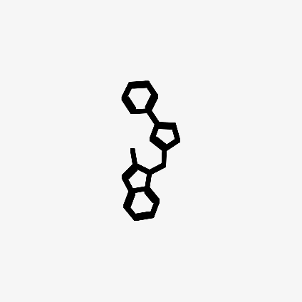 CC1=Cc2ccccc2C1CC1=CC(c2ccccc2)=CC1